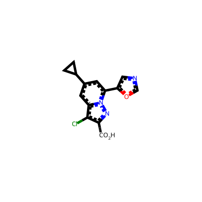 O=C(O)c1nn2c(-c3cnco3)cc(C3CC3)cc2c1Cl